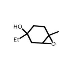 CCC1(O)CCC2(C)OC2C1